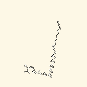 C1CO1.C1CO1.C1CO1.C1CO1.C1CO1.C1CO1.C1CO1.C1CO1.C=C(C)C(=O)O.O=C=NCCCCCCN=C=O